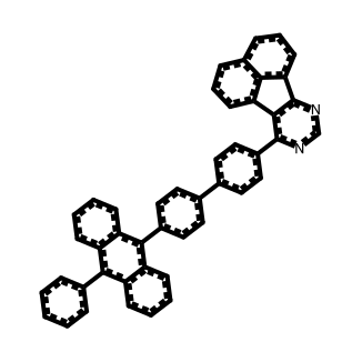 c1ccc(-c2c3ccccc3c(-c3ccc(-c4ccc(-c5ncnc6c5-c5cccc7cccc-6c57)cc4)cc3)c3ccccc23)cc1